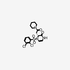 O=C1NC=CN(S(=O)(=O)c2cccc(Cl)c2Cl)[C@@H]1CC(=O)N1CCCCC1